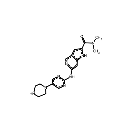 CN(C)C(=O)c1cc2cnc(Nc3ncc(N4CCNCC4)cn3)cc2[nH]1